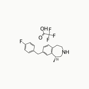 C[C@@H]1CNCCc2ccc(Cc3ccc(F)cc3)cc21.O=C(O)C(F)(F)F